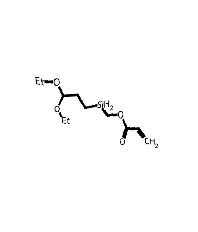 C=CC(=O)OC[SiH2]CCC(OCC)OCC